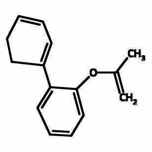 C=C(C)Oc1ccccc1C1=CC=CCC1